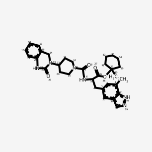 Cc1cc(CC(NC(=O)N2CCC(N3Cc4ccccc4NC3=O)CC2)C(=O)OC2(C)CCCCC2)cc2cn[nH]c12